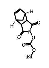 CC(C)(C)OC(=O)ON1C(=O)C2C(C1=O)[C@H]1C=C[C@@H]2C1